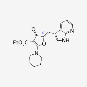 CCOC(=O)C1=C(N2CCCCC2)O/C(=C\c2c[nH]c3ncccc23)C1=O